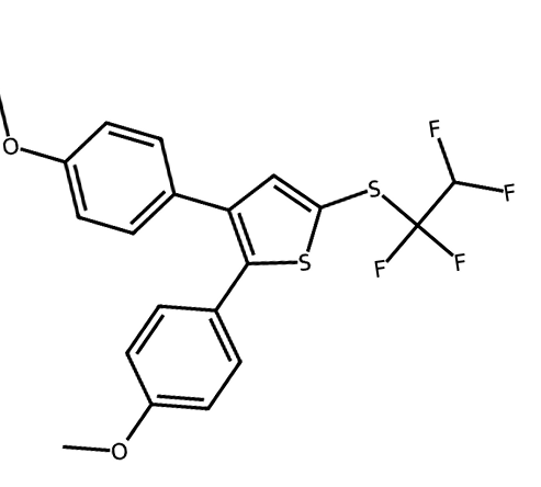 COc1ccc(-c2cc(SC(F)(F)C(F)F)sc2-c2ccc(OC)cc2)cc1